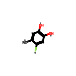 N#Cc1cc(O)c(O)cc1F